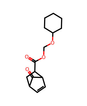 O=C1C2C=CC1C(C(=O)OCOC1CCCCC1)C2